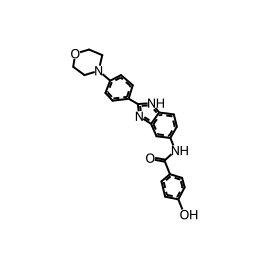 O=C(Nc1ccc2[nH]c(-c3ccc(N4CCOCC4)cc3)nc2c1)c1ccc(O)cc1